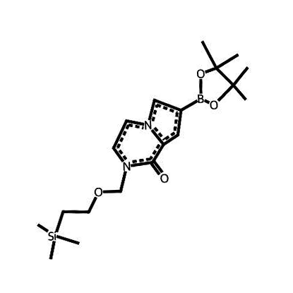 CC1(C)OB(c2cc3c(=O)n(COCC[Si](C)(C)C)ccn3c2)OC1(C)C